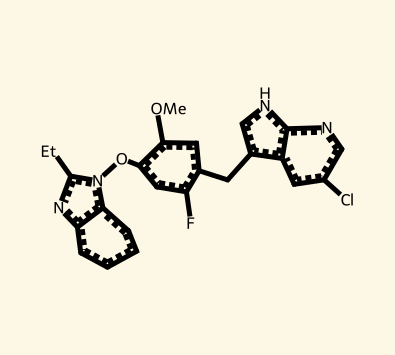 CCc1nc2ccccc2n1Oc1cc(F)c(Cc2c[nH]c3ncc(Cl)cc23)cc1OC